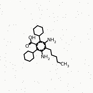 CCCCCc1c(N)c(C2CCCCC2)c(C(=O)O)c(C2CCCCC2)c1N